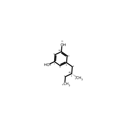 CC[C@@H](C)Cc1cc(O)cc(O)c1